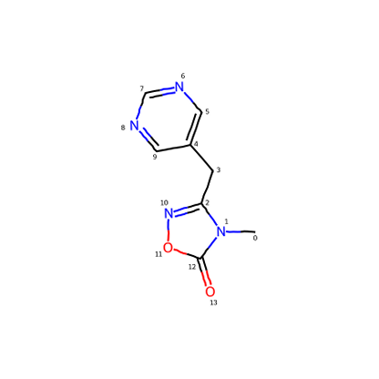 Cn1c(Cc2cncnc2)noc1=O